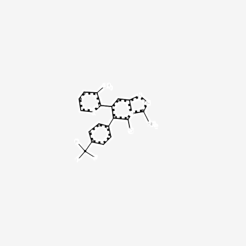 Cc1cccnc1-c1cc2nnc(N)n2c(Cl)c1-c1ccc(C(F)(F)F)cc1